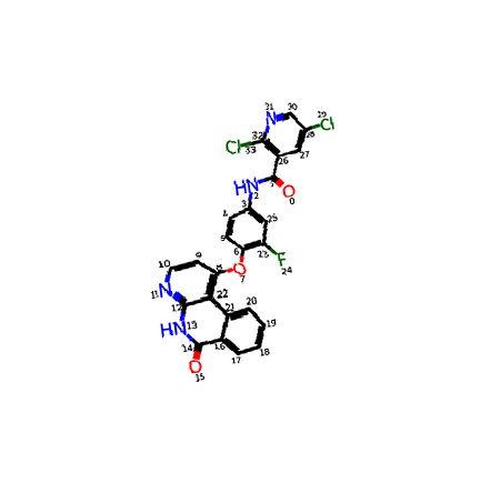 O=C(Nc1ccc(Oc2ccnc3[nH]c(=O)c4ccccc4c23)c(F)c1)c1cc(Cl)cnc1Cl